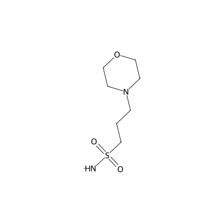 [NH]S(=O)(=O)CCCN1CCOCC1